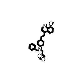 COc1cccc2c(CCC3CCC(N(CC4=COCO4)Cc4ccccc4)CC3)ccnc12